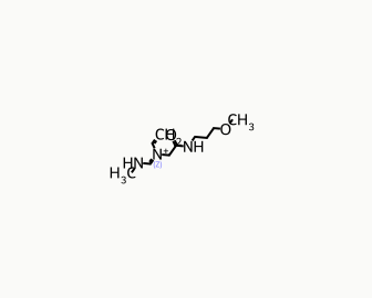 C=C/[N+](=C\NC)CC(=O)NCCCOC